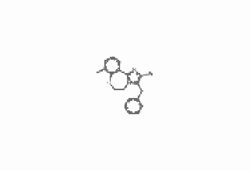 Cc1cccc2c1OCCn1c-2nc(Br)c1Cc1ccccc1